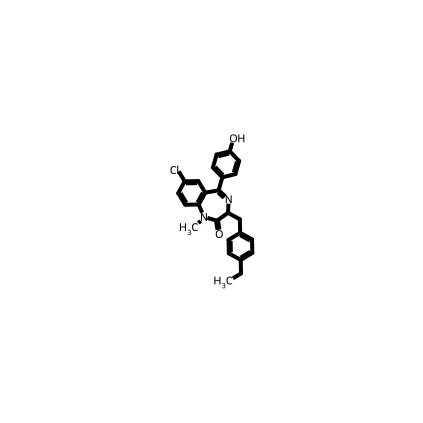 CCc1ccc(CC2N=C(c3ccc(O)cc3)c3cc(Cl)ccc3N(C)C2=O)cc1